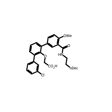 CCCCCCCCCCCCNC(=O)c1cc(-c2cccc(-c3cccc(Cl)c3)c2OCC(=O)O)ccc1OC